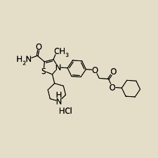 CC1=C(C(N)=O)SC(C2CCNCC2)N1c1ccc(OCC(=O)OC2CCCCC2)cc1.Cl